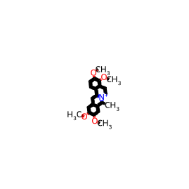 COc1cc2cc3c4ccc(OC)c(OC)c4cc[n+]3c(C)c2cc1OC